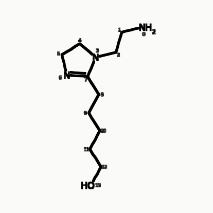 NCCN1CCN=C1CCCCCO